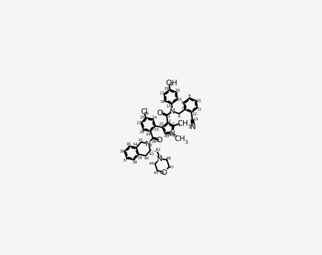 Cc1c(C(=O)N(Cc2ccccc2C#N)c2ccc(O)cc2)c(-c2cc(Cl)ccc2C(=O)N2Cc3ccccc3C[C@H]2CN2CCOCC2)cn1C